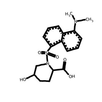 CN(C)c1cccc2c(S(=O)(=O)N3CC(O)CCC3C(=O)O)cccc12